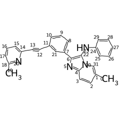 Cc1ccc2nc(-c3cccc(C#Cc4cccc(C)n4)c3)c(Nc3ccccc3)n2c1